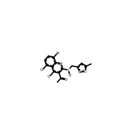 CC(=O)c1c([S+]([O-])Cc2cc(C)on2)nc2c(Br)ccc(Cl)c2c1Cl